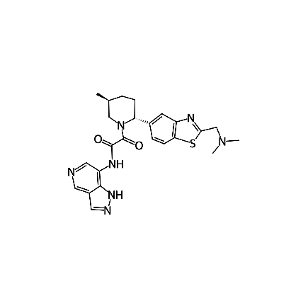 C[C@H]1CC[C@H](c2ccc3sc(CN(C)C)nc3c2)N(C(=O)C(=O)Nc2cncc3cn[nH]c23)C1